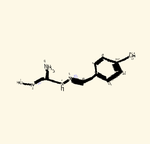 N/C(=N\O)N/N=C/c1ccc(O)cc1